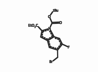 CCOC(=O)c1cc2cc(CBr)c(F)cc2n1C(=O)OC(C)(C)C